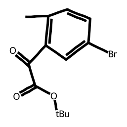 Cc1ccc(Br)cc1C(=O)C(=O)OC(C)(C)C